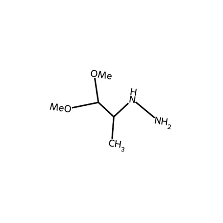 COC(OC)C(C)NN